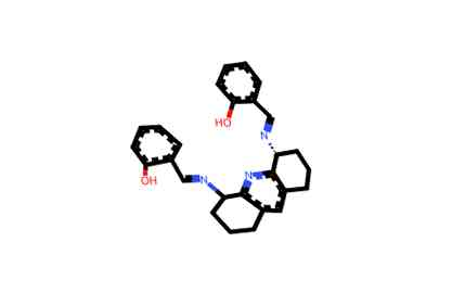 Oc1ccccc1/C=N/C1CCCc2cc3c(nc21)[C@H](/N=C/c1ccccc1O)CCC3